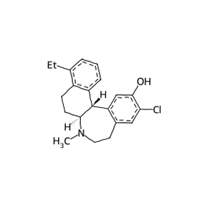 CCc1cccc2c1CC[C@H]1[C@H]2c2cc(O)c(Cl)cc2CCN1C